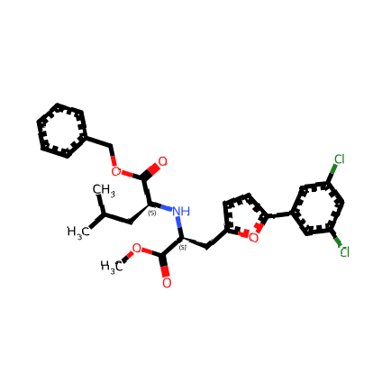 COC(=O)[C@H](Cc1ccc(-c2cc(Cl)cc(Cl)c2)o1)N[C@@H](CC(C)C)C(=O)OCc1ccccc1